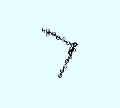 COCCOCCOCCOCCOc1ccc2nc(-c3cccc[n+]3CCOCCOCCOCCOCCC(=O)O)oc2c1